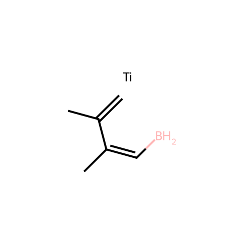 BC=C(C)C(=C)C.[Ti]